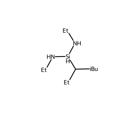 CCN[SiH](NCC)C(CC)C(C)CC